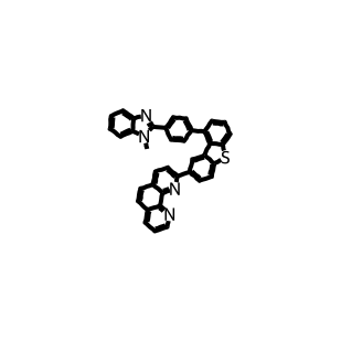 Cn1c(-c2ccc(-c3cccc4sc5ccc(-c6ccc7ccc8cccnc8c7n6)cc5c34)cc2)nc2ccccc21